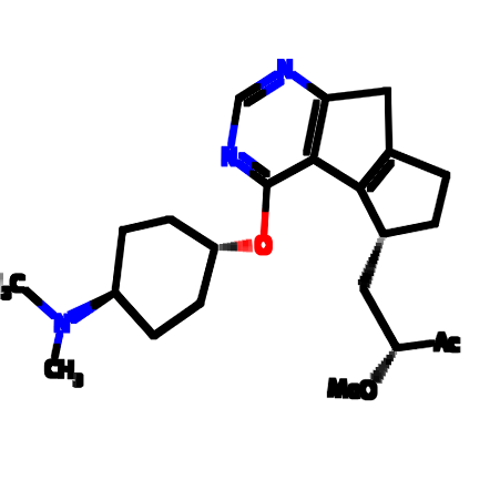 CO[C@H](C[C@H]1CCC2=C1c1c(ncnc1O[C@H]1CC[C@H](N(C)C)CC1)C2)C(C)=O